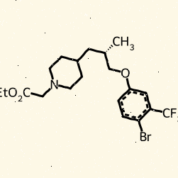 CCOC(=O)CN1CCC(C[C@H](C)COc2ccc(Br)c(C(F)(F)F)c2)CC1